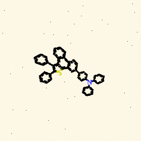 c1ccc(-c2sc3c4cc(-c5ccc(N(c6ccccc6)c6ccccc6)cc5)ccc4c4ccccc4c3c2-c2ccccc2)cc1